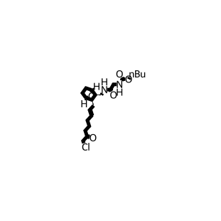 CCCCOC(=O)NCC(=O)NC[C@@H]1[C@H](CC=CCCCC(=O)CCl)[C@@H]2CC[C@H]1O2